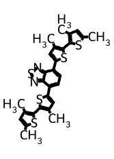 Cc1cc(C)c(-c2sc(-c3ccc(-c4cc(C)c(-c5sc(C)cc5C)s4)c4nsnc34)cc2C)s1